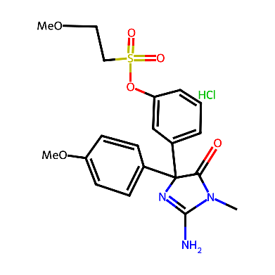 COCCS(=O)(=O)Oc1cccc(C2(c3ccc(OC)cc3)N=C(N)N(C)C2=O)c1.Cl